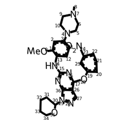 COc1cc(N2CCN(C)CC2)ccc1Nc1nc(Oc2cccc([N+](=O)[O-])c2)c2cnn(C3CCCCO3)c2n1